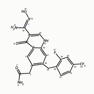 NC(=O)Cc1cc2c(=O)c(/C(N)=N/O)c[nH]c2cc1Cc1ccc(C(F)(F)F)cc1F